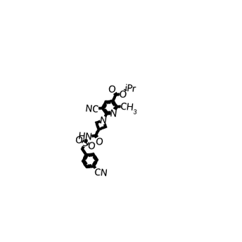 Cc1nc(N2CC(C(=O)NS(=O)(=O)Cc3ccc(C#N)cc3)C2)c(C#N)cc1C(=O)OC(C)C